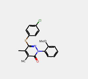 COc1ccccc1-n1nc(Sc2ccc(Cl)cc2)c(C)c(C#N)c1=O